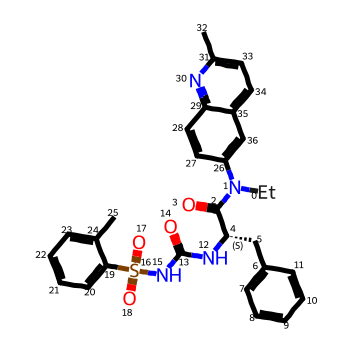 CCN(C(=O)[C@H](Cc1ccccc1)NC(=O)NS(=O)(=O)c1ccccc1C)c1ccc2nc(C)ccc2c1